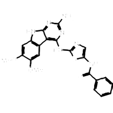 COc1cc2[nH]c3nc(N)nc(Nc4ncc(NC(=O)c5ccccc5)s4)c3c2cc1OC